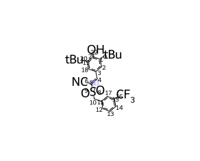 CC(C)(C)c1cc(/C=C(\C#N)S(=O)(=O)Cc2cccc(C(F)(F)F)c2)cc(C(C)(C)C)c1O